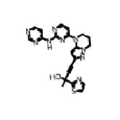 CC(O)(C#Cc1cc2n(n1)CCCN2c1ccnc(Nc2ccncn2)n1)c1nccs1